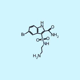 NCCNS(=O)(=O)c1c(C(N)=O)[nH]c2ccc(Br)cc12